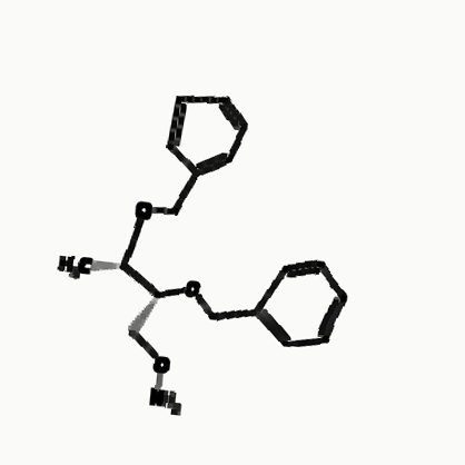 C[C@H](OCc1ccccc1)[C@@H](CON)OCc1ccccc1